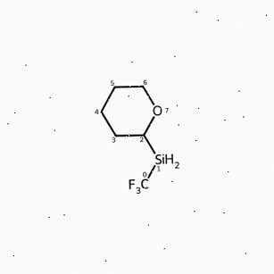 FC(F)(F)[SiH2]C1CCCCO1